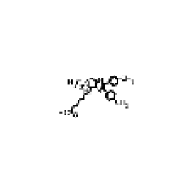 Cc1ccc(-c2nc3c(nc2-c2ccc(C)cc2)C(CCCCCCC(=O)O)N(C(C)C)CC3)cc1